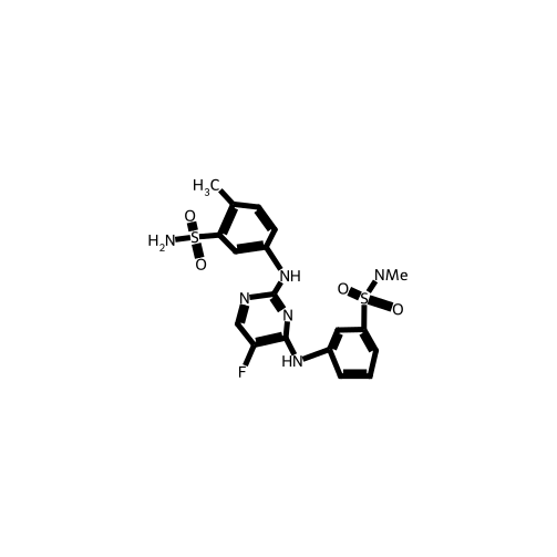 CNS(=O)(=O)c1cccc(Nc2nc(Nc3ccc(C)c(S(N)(=O)=O)c3)ncc2F)c1